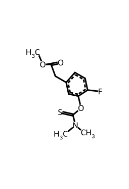 COC(=O)Cc1ccc(F)c(OC(=S)N(C)C)c1